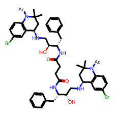 CC(=O)N1c2ccc(Br)cc2[C@@H](NC[C@H](O)[C@H](Cc2ccccc2)NC(=O)CCC(=O)N[C@@H](Cc2ccccc2)[C@@H](O)CN[C@@H]2CC(C)(C)N(C(C)=O)c3ccc(Br)cc32)CC1(C)C